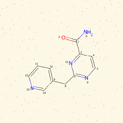 NC(=O)c1ccnc(Cc2cccnc2)n1